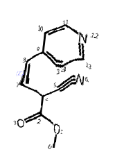 COC(=O)C(C#N)/C=C\c1ccncc1